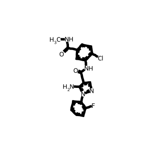 CNC(=O)c1ccc(Cl)c(NC(=O)c2cnn(-c3ccccc3F)c2N)c1